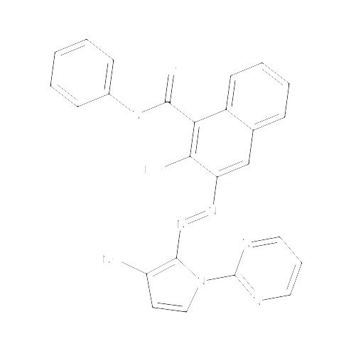 N#Cc1ccn(-c2ncccn2)c1/N=N/c1cc2ccccc2c(C(=O)Nc2ccccc2)c1O